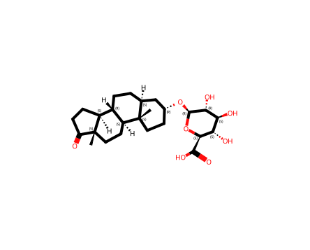 C[C@]12CC[C@@H](O[C@@H]3O[C@H](C(=O)O)[C@@H](O)[C@H](O)[C@H]3O)C[C@@H]1CC[C@@H]1[C@@H]2CC[C@]2(C)C(=O)CC[C@@H]12